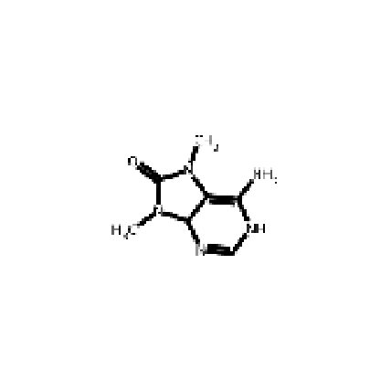 CN1C(=O)N(C)C2N=CNC(N)=C21